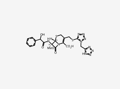 CO[C@@]1(NC(=O)C(O)c2ccccc2)C(=O)N2C(C(=O)O)=C(CSc3nnnn3Cc3nnn[nH]3)CS[C@H]21